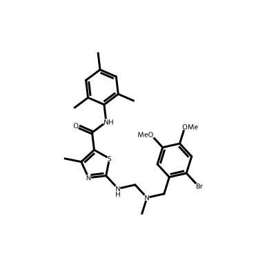 COc1cc(Br)c(CN(C)CNc2nc(C)c(C(=O)Nc3c(C)cc(C)cc3C)s2)cc1OC